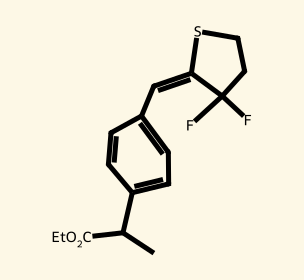 CCOC(=O)C(C)c1ccc(C=C2SCCC2(F)F)cc1